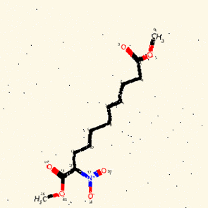 COC(=O)CCCCCCCCC(C(=O)OC)[N+](=O)[O-]